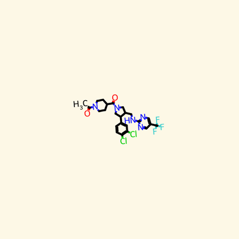 CC(=O)N1CCC(C(=O)N2CC(CNc3ncc(C(F)(F)F)cn3)C(c3ccc(Cl)c(Cl)c3)C2)CC1